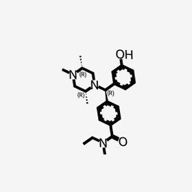 CCN(C)C(=O)c1ccc([C@H](c2cccc(O)c2)N2C[C@@H](C)N(C)C[C@H]2C)cc1